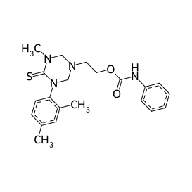 Cc1ccc(N2CN(CCOC(=O)Nc3ccccc3)CN(C)C2=S)c(C)c1